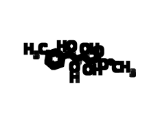 CCOC(=O)[C@H](O)[C@@H](O)[C@H](O)[C@@H](O)c1cccc(C)c1